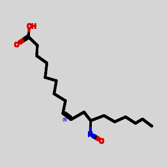 CCCCCCC(C/C=C\CCCCCCCC(=O)O)N=O